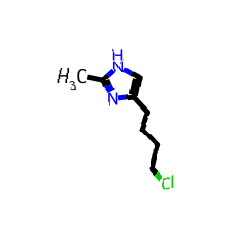 Cc1nc(CCCCCl)c[nH]1